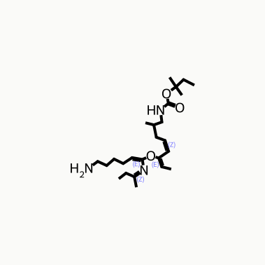 C/C=C(\C=C/CC(C)CNC(=O)OC(C)(C)CC)OC(=C/CCCCN)/N=C(/C)CC